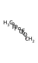 C=CCCOc1ccc(OCc2ccc(-c3ccc(-c4ccc(C)cc4)c(F)c3F)cc2)c(F)c1